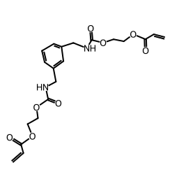 C=CC(=O)OCCOC(=O)NCc1cccc(CNC(=O)OCCOC(=O)C=C)c1